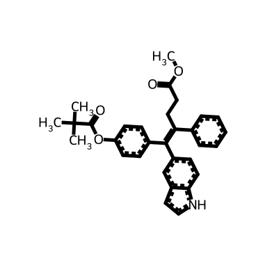 COC(=O)CC/C(=C(\c1ccc(OC(=O)C(C)(C)C)cc1)c1ccc2[nH]ccc2c1)c1ccccc1